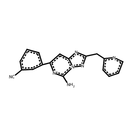 N#Cc1cccc(-c2cc3nc(Cc4ccccn4)nn3c(N)n2)c1